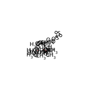 CC[C@H]1OC(=O)[C@H](C)[C@@H](O[C@H]2C[C@@](C)(OC)[C@@H](O)[C@H](C)O2)[C@H](C)[C@@H](O[C@@H]2O[C@H](C)C[C@H](N(C)C)[C@H]2O)[C@](C)(O)C[C@@H](C)CN(CCCNC(=O)CCC(=O)OCc2cc3c(s2)-c2ccccc2Sc2ccccc2-3)[C@H](C)[C@@H](O)[C@]1(C)O